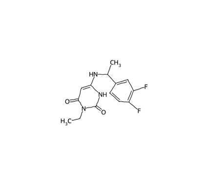 CCn1c(=O)cc(NC(C)c2ccc(F)c(F)c2)[nH]c1=O